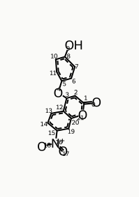 O=c1cc(Oc2ccc(O)cc2)c2ccc([N+](=O)[O-])cc2o1